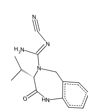 CC(C)[C@H]1C(=O)Nc2ccccc2CN1/C(N)=N/C#N